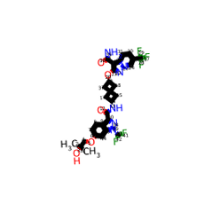 CC(C)(O)COc1ccc2c(C(=O)N[C@H]3CC4(C3)C[C@H](Oc3nn5cc(C(F)(F)F)ccc5c3C(N)=O)C4)nn(C(F)F)c2c1